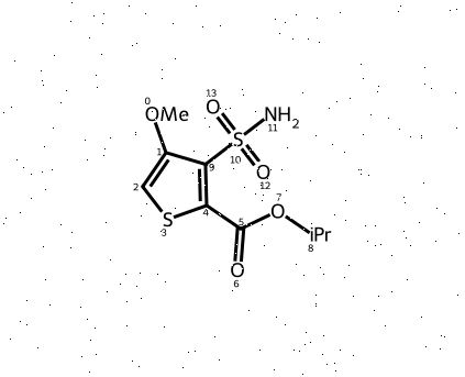 COc1csc(C(=O)OC(C)C)c1S(N)(=O)=O